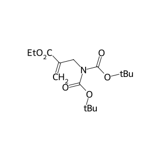 C=C(CN(C(=O)OC(C)(C)C)C(=O)OC(C)(C)C)C(=O)OCC